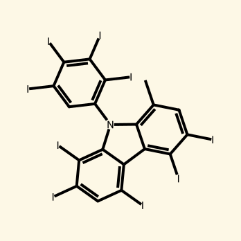 Cc1cc(I)c(I)c2c3c(I)cc(I)c(I)c3n(-c3cc(I)c(I)c(I)c3I)c12